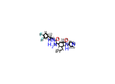 CC(C)CC1CC(C(N)C(=O)NCC(C)(C)c2ccc(F)c(F)c2)CC(C)(C(=O)Nc2ccncc2)C1